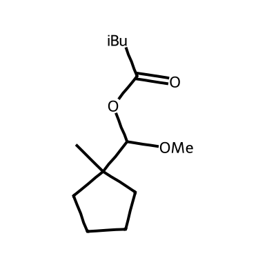 CCC(C)C(=O)OC(OC)C1(C)CCCC1